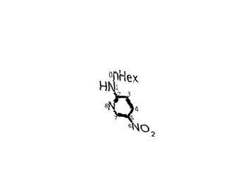 CCCCCCNc1ccc([N+](=O)[O-])cn1